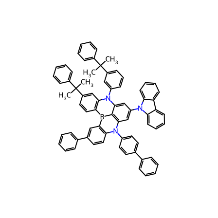 CC(C)(c1ccccc1)c1cccc(N2c3cc(C(C)(C)c4ccccc4)ccc3B3c4cc(-c5ccccc5)ccc4N(c4ccc(-c5ccccc5)cc4)c4cc(-n5c6ccccc6c6ccccc65)cc2c43)c1